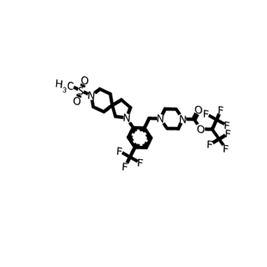 CS(=O)(=O)N1CCC2(CCN(c3cc(C(F)(F)F)ccc3CN3CCN(C(=O)OC(C(F)(F)F)C(F)(F)F)CC3)C2)CC1